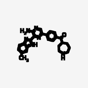 Cc1ccc2nc(-c3nc(-c4ccc(C(=O)C5CCCNCC5)cc4)cnc3N)[nH]c2c1